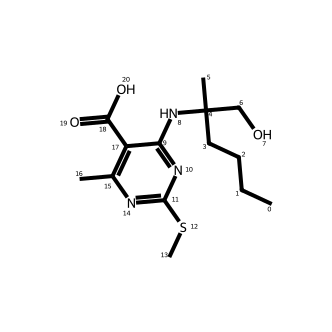 CCCCC(C)(CO)Nc1nc(SC)nc(C)c1C(=O)O